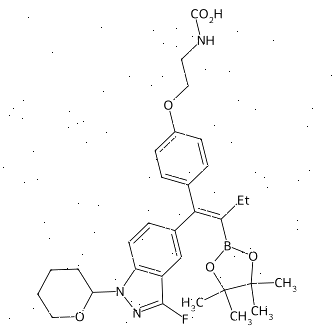 CCC(B1OC(C)(C)C(C)(C)O1)=C(c1ccc(OCCNC(=O)O)cc1)c1ccc2c(c1)c(F)nn2C1CCCCO1